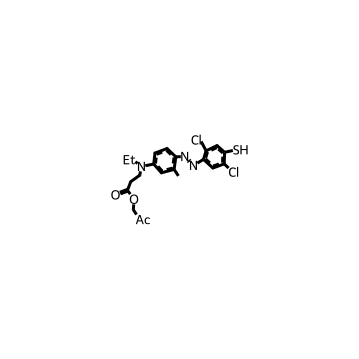 CCN(CCC(=O)OCC(C)=O)c1ccc(N=Nc2cc(Cl)c(S)cc2Cl)c(C)c1